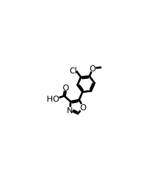 COc1ccc(-c2ocnc2C(=O)O)cc1Cl